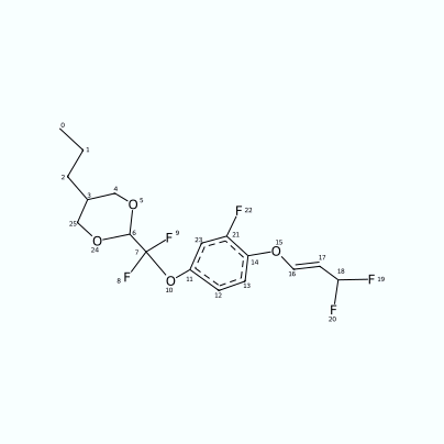 CCCC1COC(C(F)(F)Oc2ccc(O/C=C/C(F)F)c(F)c2)OC1